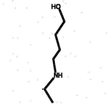 C[CH]NCCCCO